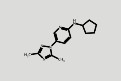 Cc1nc(C)n(-c2ccc(NC3CCCC3)nc2)n1